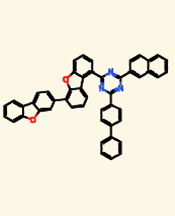 c1ccc(-c2ccc(-c3nc(-c4ccc5ccccc5c4)nc(-c4cccc5oc6c(-c7ccc8c(c7)oc7ccccc78)cccc6c45)n3)cc2)cc1